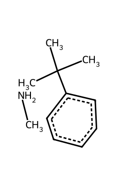 CC(C)(C)c1ccccc1.CN